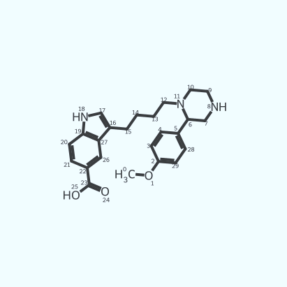 COc1ccc(C2CNCCN2CCCCc2c[nH]c3ccc(C(=O)O)cc23)cc1